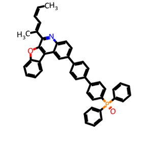 C/C=C\C=C(/C)c1nc2ccc(-c3ccc(-c4ccc(P(=O)(c5ccccc5)c5ccccc5)cc4)cc3)cc2c2c1oc1ccccc12